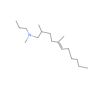 CCCCC/C=C(\C)CCC(C)CN(C)CCC